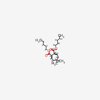 CCCCCOC(=O)C1=CCC(C)(C)CC=C1C(=O)OCCCCC